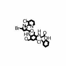 Cc1c(N[C@@H](Cc2ccccc2)C(=O)O)c(Cl)cc(C=O)c1NC(=O)c1cc(Br)nn1-c1ncccc1Cl